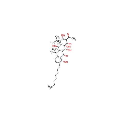 CCCCCCCCc1ccc2c(c1O)C(=O)C1=C(O)[C@@]3(O)C(=O)C(C(C)=O)=C(O)C(C(C)C)[C@@]3(C)[C@H](O)[C@@]1(C)[C@@H]2C